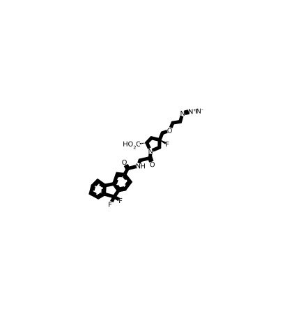 [N-]=[N+]=NCCOC[C@@]1(F)C[C@@H](C(=O)O)N(C(=O)CNC(=O)c2ccc3c(c2)-c2ccccc2C3(F)F)C1